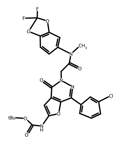 CN(C(=O)Cn1nc(-c2cccc(Cl)c2)c2oc(NC(=O)OC(C)(C)C)cc2c1=O)c1ccc2c(c1)OC(F)(F)O2